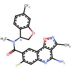 Cc1noc2c1c(N)nc1cc(F)c(C(=O)N(C)[C@@H]3COc4cc(C(F)(F)F)ccc43)cc12